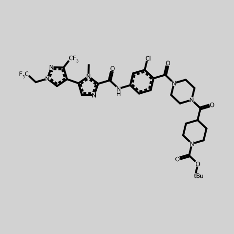 Cn1c(-c2cn(CC(F)(F)F)nc2C(F)(F)F)cnc1C(=O)Nc1ccc(C(=O)N2CCN(C(=O)C3CCN(C(=O)OC(C)(C)C)CC3)CC2)c(Cl)c1